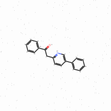 O=C(Cc1ccc(-c2ccccc2)cn1)c1ccccc1